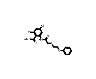 COC(=O)c1c(Cl)cc(Cl)cc1NC(=O)CSCCOc1ccccc1